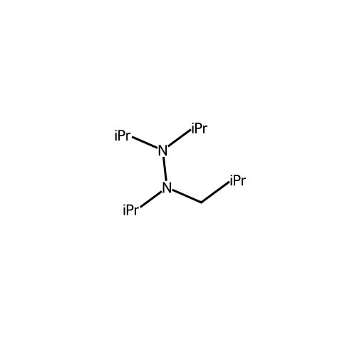 CC(C)CN(C(C)C)N(C(C)C)C(C)C